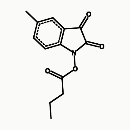 CCCC(=O)ON1C(=O)C(=O)c2cc(C)ccc21